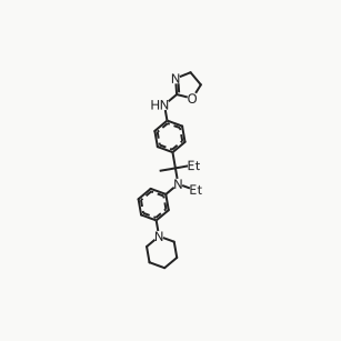 CCN(c1cccc(N2CCCCC2)c1)C(C)(CC)c1ccc(NC2=NCCO2)cc1